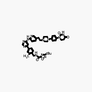 Cc1cc(-c2cc(Nc3ccc(CCN4CCN(c5ccc(N6CCC(=O)NC6=O)cc5)CC4)cn3)ncn2)ccc1CNC(=O)c1nc(C(C)(C)C)no1